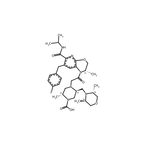 CC(C)NC(=O)c1nc2c(cc1Cc1ccc(F)cc1)N(C(=O)CN1C[C@@H](C)N(C(=O)O)C[C@@H]1CN1[C@H](C)COC[C@H]1C)[C@@H](C)CO2